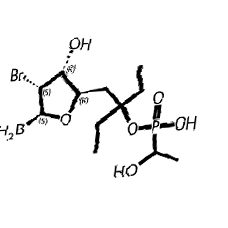 B[C@@H]1O[C@H](CC(CC)(CC)OP(=O)(O)C(C)O)[C@@H](O)[C@H]1Br